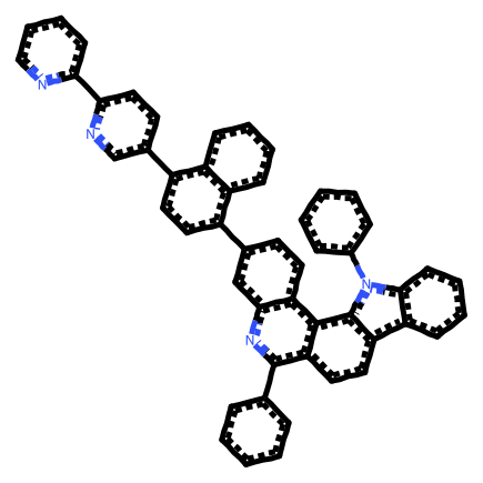 c1ccc(-c2nc3cc(-c4ccc(-c5ccc(-c6ccccn6)nc5)c5ccccc45)ccc3c3c2ccc2c4ccccc4n(-c4ccccc4)c23)cc1